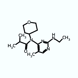 CCNc1ncc(C)c(N(C(=O)C(C)C)C2CCOCC2)n1